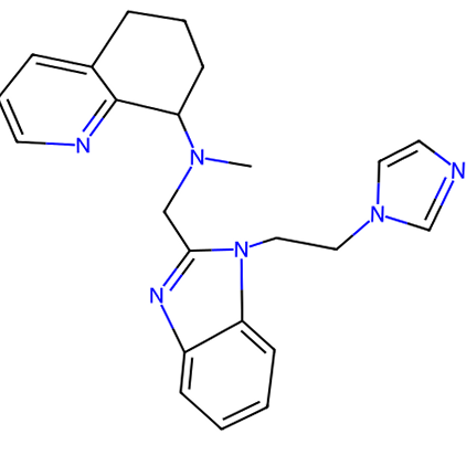 CN(Cc1nc2ccccc2n1CCn1ccnc1)C1CCCc2cccnc21